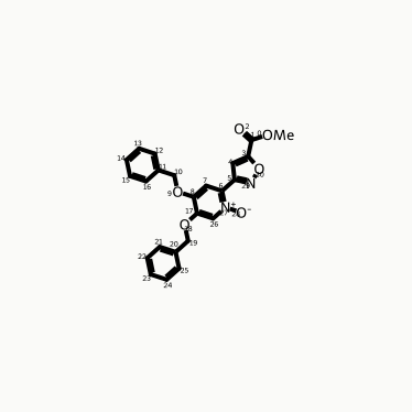 COC(=O)c1cc(-c2cc(OCc3ccccc3)c(OCc3ccccc3)c[n+]2[O-])no1